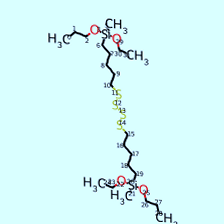 CCCO[Si](C)(CCCCCSSSSCCCCC[Si](C)(OCC)OCCC)OCC